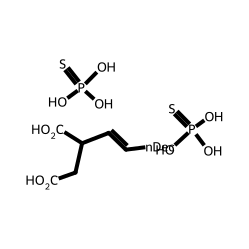 CCCCCCCCCCC=CC(CC(=O)O)C(=O)O.OP(O)(O)=S.OP(O)(O)=S